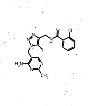 Cc1ncc(Cn2nnc(CNC(=O)c3ccccc3Cl)c2I)c(N)n1